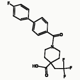 O=C(c1ccc(-c2ccc(F)cc2)cc1)N1CCC(CC(F)(F)F)(C(=O)O)CC1